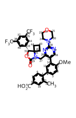 COc1ccc(-c2ccc(C(=O)O)cc2C)cc1-c1cnc(N2CCOCC2)nc1CN1C(=O)O[C@H](c2cc(C(F)(F)F)cc(C(F)(F)F)c2)C12CCC2